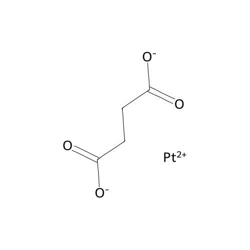 O=C([O-])CCC(=O)[O-].[Pt+2]